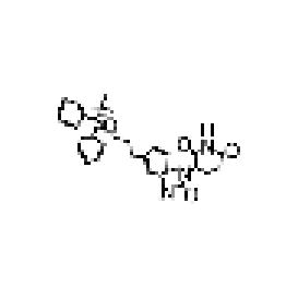 Cn1c(=O)n(C2CCC(=O)NC2=O)c2ccc(CCCO[Si](c3ccccc3)(c3ccccc3)C(C)(C)C)cc21